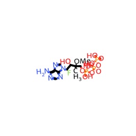 CO[C@](C)(COP(=O)(O)OP(=O)(O)OP(=O)(O)O)[C@@H](O)[C@@H](F)n1cnc2c(N)ncnc21